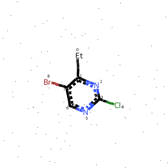 CCc1nc(Cl)ncc1Br